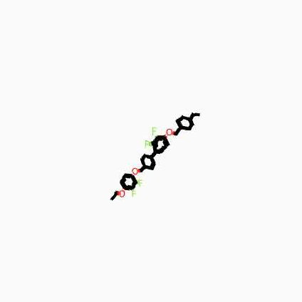 CCOc1ccc(OCC2C=CC(c3ccc(OCC4CCC(CC)CC4)c(F)c3F)CC2)c(F)c1F